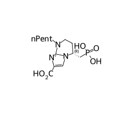 CCCCCN1CC[C@H](CP(=O)(O)O)n2cc(C(=O)O)nc21